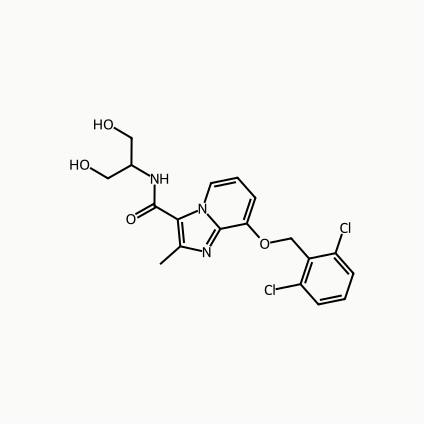 Cc1nc2c(OCc3c(Cl)cccc3Cl)cccn2c1C(=O)NC(CO)CO